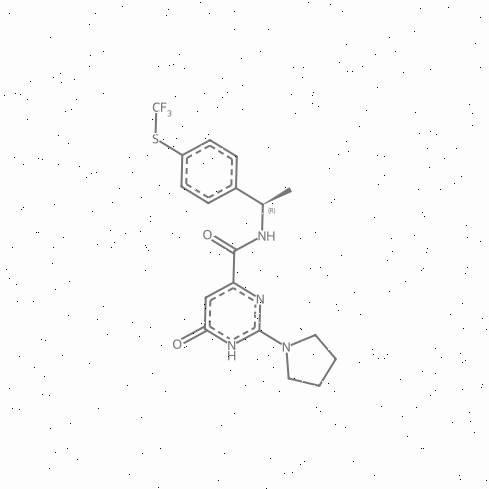 C[C@@H](NC(=O)c1cc(=O)[nH]c(N2CCCC2)n1)c1ccc(SC(F)(F)F)cc1